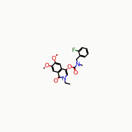 CCn1cc(OC(=O)N(C)Cc2ccccc2F)c2cc(OC)c(OC)cc2c1=O